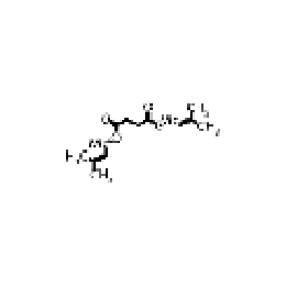 CC(C)=[CH][Mo][O]C(=O)CCC(=O)[O][Mo][CH]=C(C)C